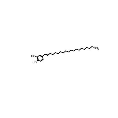 NCCCCCCCCCCCCCCCCCC=Cc1ccc(O)c(O)c1